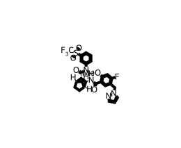 COc1cc(F)c(Cn2cccn2)cc1C(=O)N[C@@H]1[C@H]2CC[C@H](C2)[C@@H]1C(=O)Nc1cccc(S(=O)(=O)C(F)(F)F)c1